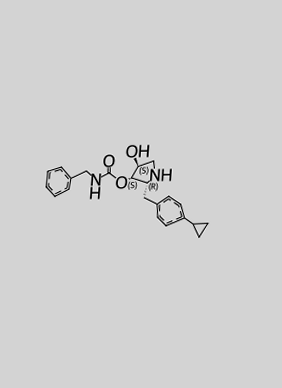 O=C(NCc1ccccc1)O[C@@H]1[C@@H](O)CN[C@@H]1Cc1ccc(C2CC2)cc1